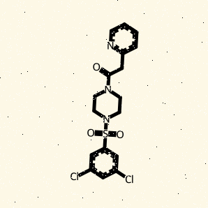 O=C(Cc1ccccn1)N1CCN(S(=O)(=O)c2cc(Cl)cc(Cl)c2)CC1